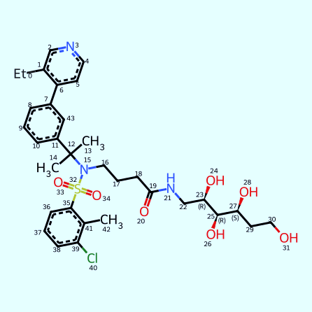 CCc1cnccc1-c1cccc(C(C)(C)N(CCCC(=O)NC[C@@H](O)[C@H](O)[C@@H](O)CCO)S(=O)(=O)c2cccc(Cl)c2C)c1